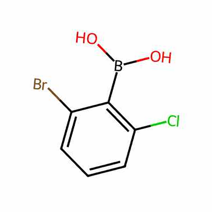 OB(O)c1c(Cl)cccc1Br